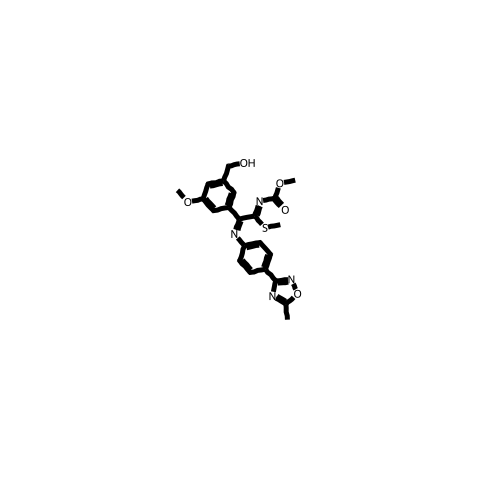 COC(=O)N=C(SC)C(=Nc1ccc(-c2noc(C)n2)cc1)c1cc(CO)cc(OC)c1